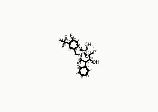 CCS(=O)(=O)N(Cc1ccc(F)c(C(F)(F)F)c1)C1Sc2ccccc2C1C(O)CI